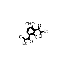 CCC(Cl)C(=O)c1ccc([C]=O)c(C(=O)C(Cl)CC)c1Cl